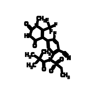 CCS(=O)(=O)N(C(=O)C(C)(C)C)c1cc(-c2c(C(F)(F)F)n(C)c(=O)[nH]c2=O)c(F)cc1C#N